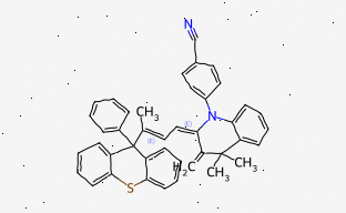 C=C1/C(=C\C=C(/C)C2(c3ccccc3)c3ccccc3Sc3ccccc32)N(c2ccc(C#N)cc2)c2ccccc2C1(C)C